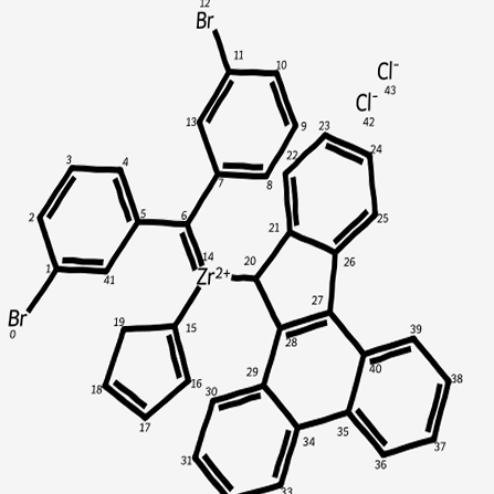 Brc1cccc([C](c2cccc(Br)c2)=[Zr+2]([C]2=CC=CC2)[CH]2c3ccccc3-c3c2c2ccccc2c2ccccc32)c1.[Cl-].[Cl-]